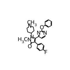 CN1CCC(n2c(-c3ccnc(Oc4ccccc4)n3)c(-c3ccc(F)cc3)c(=O)n2C)CC1